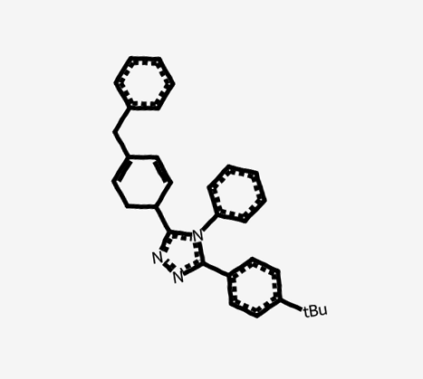 CC(C)(C)c1ccc(-c2nnc(C3C=CC(Cc4ccccc4)=CC3)n2-c2ccccc2)cc1